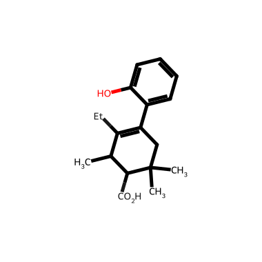 CCC1=C(c2ccccc2O)CC(C)(C)C(C(=O)O)C1C